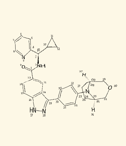 O=C(N[C@@H](c1ccccn1)C1CC1)c1ccc2[nH]nc(-c3ccc(N4[C@@H]5CC[C@H]4COC5)cc3)c2c1